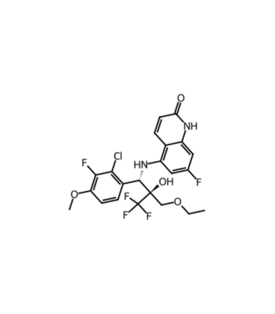 CCOC[C@@](O)([C@@H](Nc1cc(F)cc2[nH]c(=O)ccc12)c1ccc(OC)c(F)c1Cl)C(F)(F)F